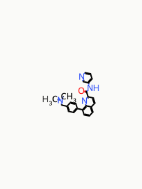 CN(C)Cc1ccc(-c2cccc3ccc(C(=O)Nc4cccnc4)nc23)cc1